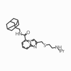 CC(C)NCCSCc1cn2c(C(=O)NCC34CC5CC(CC(C5)C3)C4)cccc2n1